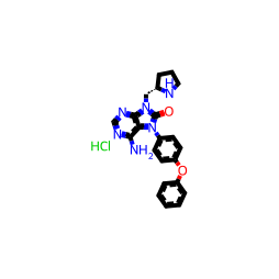 Cl.Nc1ncnc2c1n(-c1ccc(Oc3ccccc3)cc1)c(=O)n2C[C@@H]1CCCN1